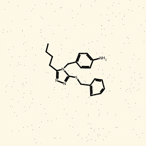 CCCCc1nnc(SCc2ccccc2)n1Cc1ccc(N)cc1